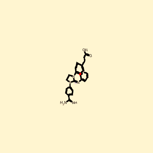 N=C(N)c1ccc(N2CCN(c3ccc(CCC(=O)O)cc3)/C2=N\c2cccnc2)cc1